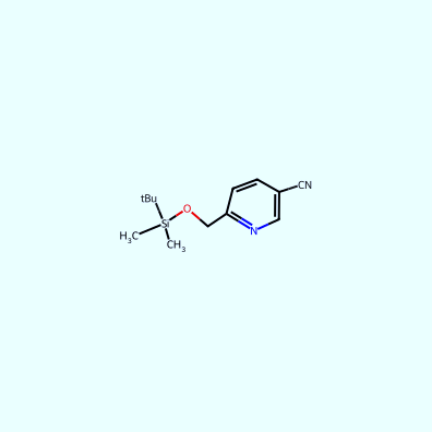 CC(C)(C)[Si](C)(C)OCc1ccc(C#N)cn1